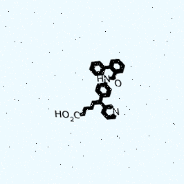 O=C(O)CCCC=C(c1ccc(NC(=O)c2ccccc2-c2ccccc2)cc1)c1cccnc1